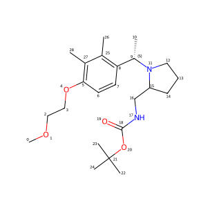 COCCOc1ccc([C@H](C)N2CCCC2CNC(=O)OC(C)(C)C)c(C)c1C